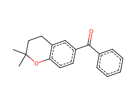 CC1(C)CCc2cc(C(=O)c3ccccc3)ccc2O1